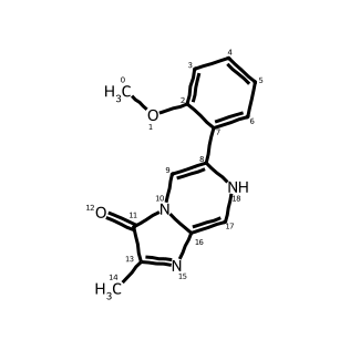 COc1ccccc1-c1cn2c(=O)c(C)nc-2c[nH]1